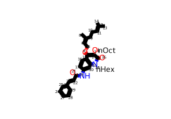 CCCCCCCCOc1c(OCC=C(C)CCC=C(C)C)c2ccc(NC(=O)C=Cc3ccccc3)cc2n(CCCCCC)c1=O